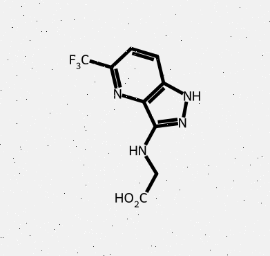 O=C(O)CNc1n[nH]c2ccc(C(F)(F)F)nc12